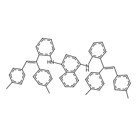 Cc1ccc(C=C(c2ccc(C)cc2)c2ccccc2Nc2ccc(Nc3ccccc3C(=Cc3ccc(C)cc3)c3ccc(C)cc3)c3ccccc23)cc1